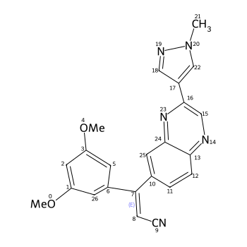 COc1cc(OC)cc(/C(=C/C#N)c2ccc3ncc(-c4cnn(C)c4)nc3c2)c1